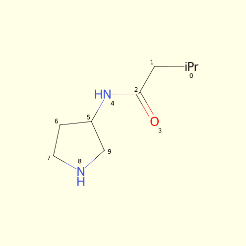 CC(C)CC(=O)NC1CCNC1